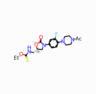 CCOC(=S)NC[C@H]1CN(c2ccc(N3CCN(C(C)=O)CC3)c(F)c2)C(=O)O1